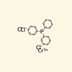 [Cl-].[Cl-].[Cl-].[Cr+3].c1ccc(P(c2ccccc2)c2ccccc2)cc1